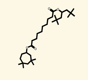 CC(C)(C)CC(CC(C)(C)C)OC(=O)CCCCCCCCC(=O)OC1CCC(C)(C)CC(C)(C)C1